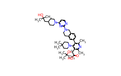 Cc1nc(C)c([C@H](OC(C)(C)C)C(=O)O)c(N2CCC(C)(C)CC2)c1-c1ccc2c(c1)CCN(c1nccc(N3CCC(CC(C)(C)O)CC3)n1)C2